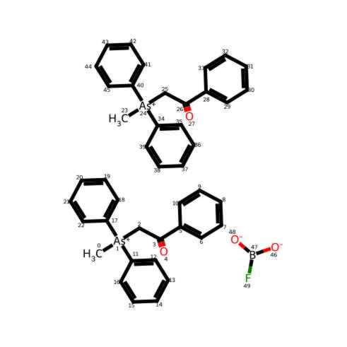 C[As+](CC(=O)c1ccccc1)(c1ccccc1)c1ccccc1.C[As+](CC(=O)c1ccccc1)(c1ccccc1)c1ccccc1.[O-]B([O-])F